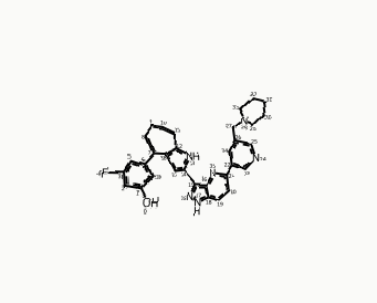 Oc1cc(F)cc(C2=CC=C=Cc3[nH]c(-c4n[nH]c5ccc(-c6cncc(CN7CCCCC7)c6)nc45)cc32)c1